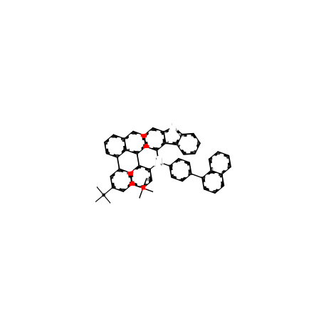 CC(C)(C)c1cc(-c2cccc3cccc(-c4ccccc4N(c4ccc(-c5cccc6ccccc56)cc4)c4cccc5sc6ccccc6c45)c23)cc(C(C)(C)C)c1